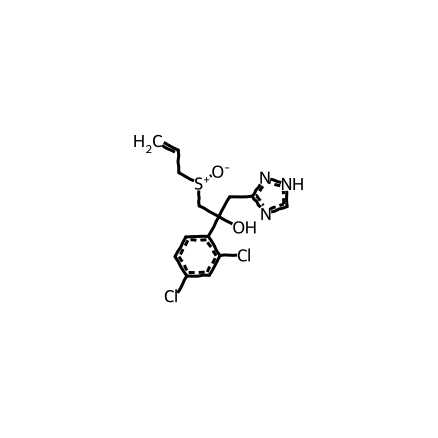 C=CC[S+]([O-])CC(O)(Cc1nc[nH]n1)c1ccc(Cl)cc1Cl